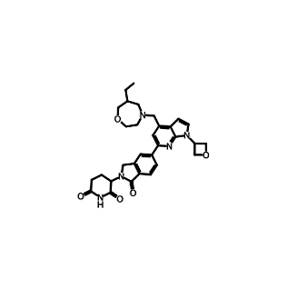 CCC1COCCN(Cc2cc(-c3ccc4c(c3)CN(C3CCC(=O)NC3=O)C4=O)nc3c2ccn3C2COC2)C1